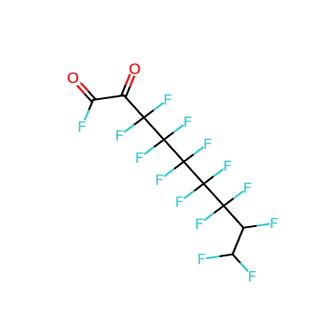 O=C(F)C(=O)C(F)(F)C(F)(F)C(F)(F)C(F)(F)C(F)(F)C(F)C(F)F